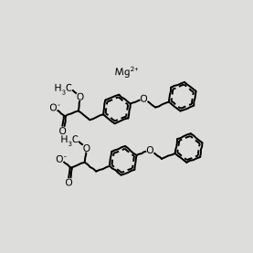 COC(Cc1ccc(OCc2ccccc2)cc1)C(=O)[O-].COC(Cc1ccc(OCc2ccccc2)cc1)C(=O)[O-].[Mg+2]